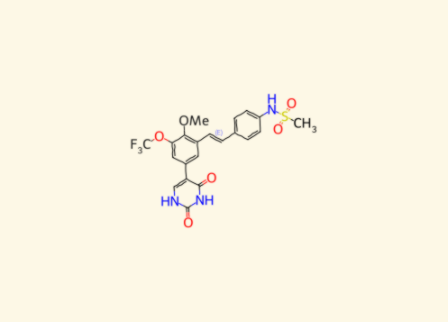 COc1c(/C=C/c2ccc(NS(C)(=O)=O)cc2)cc(-c2c[nH]c(=O)[nH]c2=O)cc1OC(F)(F)F